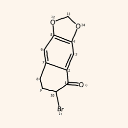 O=C1c2cc3c(cc2CCC1Br)OCO3